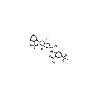 CS(=O)(=O)c1ccc(NC(O)N2C[C@H]3C[C@@H](c4ccccc4C(F)(F)F)C[C@H]3C2)c(C(=O)O)c1